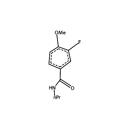 CCCNC(=O)c1ccc(OC)c(F)c1